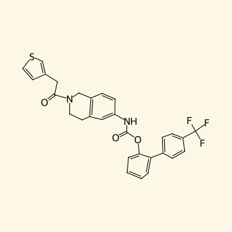 O=C(Nc1ccc2c(c1)CCN(C(=O)Cc1ccsc1)C2)Oc1ccccc1-c1ccc(C(F)(F)F)cc1